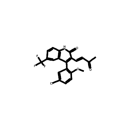 COc1ccc(Cl)cc1-c1c(C=CC(C)=O)c(=O)[nH]c2ccc(C(F)(F)F)cc12